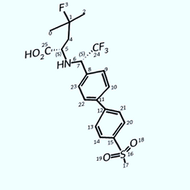 CC(C)(F)C[C@H](N[C@@H](c1ccc(-c2ccc(S(C)(=O)=O)cc2)cc1)C(F)(F)F)C(=O)O